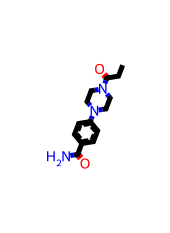 CCC(=O)N1CCN(c2ccc(C(N)=O)cc2)CC1